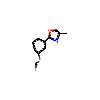 Cc1coc(-c2cccc(SC=S)c2)n1